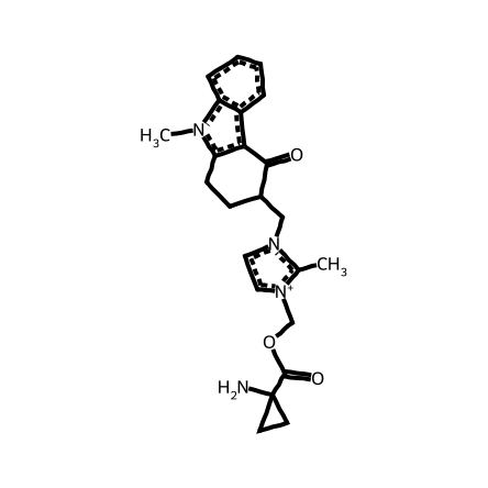 Cc1n(CC2CCc3c(c4ccccc4n3C)C2=O)cc[n+]1COC(=O)C1(N)CC1